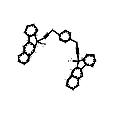 OC1(C#CCc2ccc(CC#CC3(O)c4ccccc4-c4cc5ccccc5cc43)cc2)c2ccccc2-c2cc3ccccc3cc21